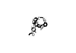 C=CC(=O)N1C[C@H](C)N(c2nc(=O)n3c4nc(c(F)cc24)-c2c(F)cccc2OCCCCc2ccnc(C(C)C)c2-3)C[C@H]1C